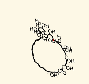 C[C@@H]1[C@H](O)[C@@H](C)/C=C/C=C/C=C/C=C/C=C/C=C/C=C/C(OC2OC[C@@H](O)[C@H](N)[C@H]2O)C[C@@H]2OC(O)(CC(O)CC(O)C(O)CCC(O)CC(O)CC(=O)O[C@H]1C)C[C@H](O)[C@H]2C(=O)O